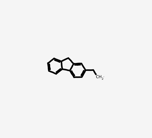 [CH2]Cc1ccc2c(c1)Cc1ccccc1-2